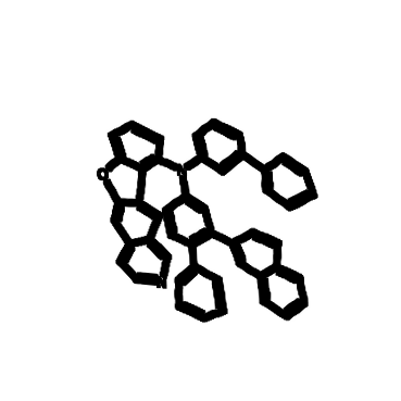 c1ccc(-c2cccc(N(c3ccc(-c4ccccc4)c(-c4ccc5ccccc5c4)c3)c3cccc4oc5cc6ccncc6cc5c34)c2)cc1